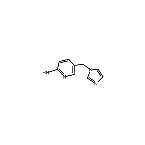 [NH]c1ccc(Cn2ccnc2)cn1